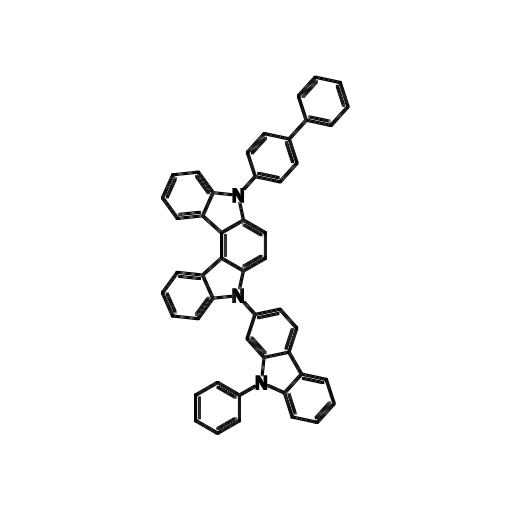 c1ccc(-c2ccc(-n3c4ccccc4c4c5c6ccccc6n(-c6ccc7c8ccccc8n(-c8ccccc8)c7c6)c5ccc43)cc2)cc1